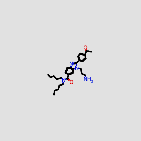 CCCCCN(CCCCC)C(=O)c1ccc2nc(-c3ccc(C(C)=O)cc3)n(CCCN)c2c1